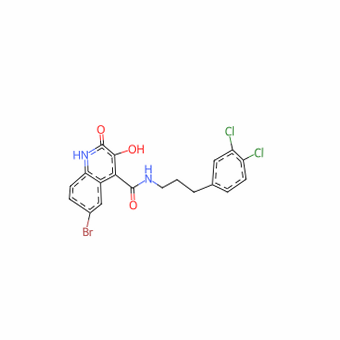 O=C(NCCCc1ccc(Cl)c(Cl)c1)c1c(O)c(=O)[nH]c2ccc(Br)cc12